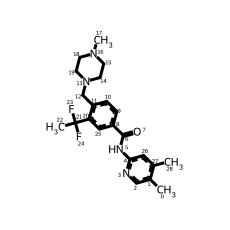 Cc1cnc(NC(=O)c2ccc(CN3CCN(C)CC3)c(C(C)(F)F)c2)cc1C